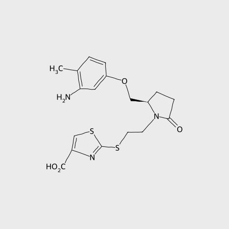 Cc1ccc(OC[C@H]2CCC(=O)N2CCSc2nc(C(=O)O)cs2)cc1N